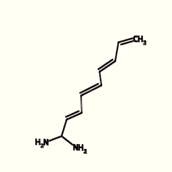 C=C/C=C/C=C/C=C/C(N)N